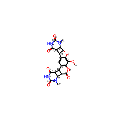 COc1c2c(cc3c1OC(=O)C1C3C3C(=O)NC(=O)N(C)C31)C1C(O2)C2C1C(=O)NC(=O)N2C